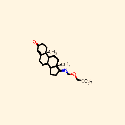 C[C@]12CCC(=O)C=C1CCC1C2CC[C@]2(C)/C(=N/COCC(=O)O)CCC12